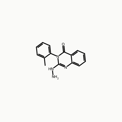 Cc1ccccc1-n1c(NN)nc2ccccc2c1=O